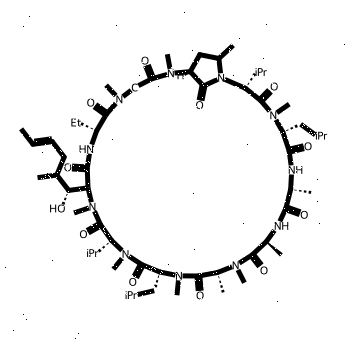 C/C=C/CC(C)[C@@H](O)C1C(=O)N[C@H](CC)C(=O)N(C)CC(=O)N(C)[C@@H]2CC(C)N(C2=O)[C@H](C(C)C)C(=O)N(C)[C@H](CC(C)C)C(=O)N[C@H](C)C(=O)N[C@@H](C)C(=O)N(C)[C@H](C)C(=O)N(C)[C@H](CC(C)C)C(=O)N(C)[C@H](C(C)C)C(=O)N1C